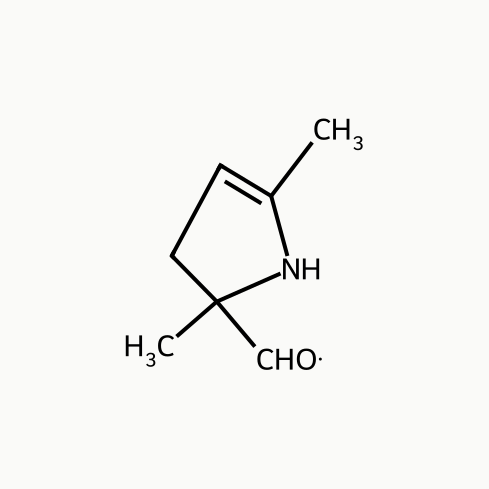 CC1=CCC(C)([C]=O)N1